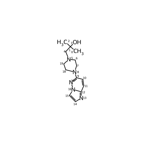 CC(C)(O)CN1CCN(c2ccc3nccn3n2)CC1